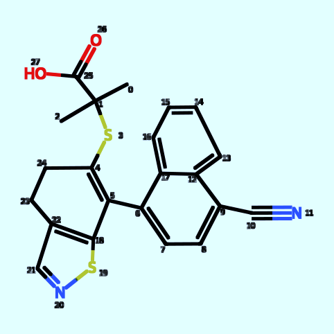 CC(C)(SC1=C(c2ccc(C#N)c3ccccc23)c2sncc2CC1)C(=O)O